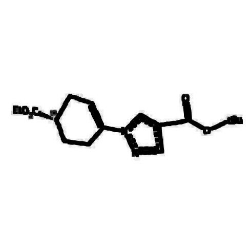 CCOC(=O)[C@@H]1CC=C(n2cc(C(=O)OC(C)(C)C)cn2)CC1